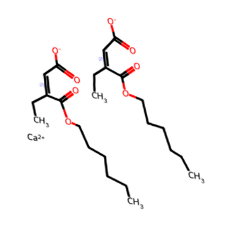 CCCCCCOC(=O)/C(=C\C(=O)[O-])CC.CCCCCCOC(=O)/C(=C\C(=O)[O-])CC.[Ca+2]